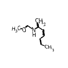 C=C(/C=C\C=C/C)NCOC